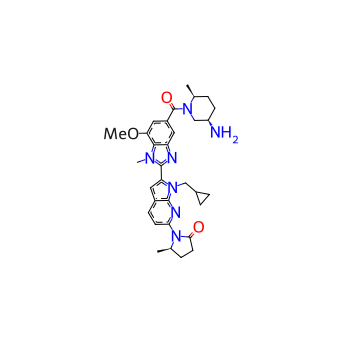 COc1cc(C(=O)N2C[C@H](N)CC[C@@H]2C)cc2nc(-c3cc4ccc(N5C(=O)CC[C@H]5C)nc4n3CC3CC3)n(C)c12